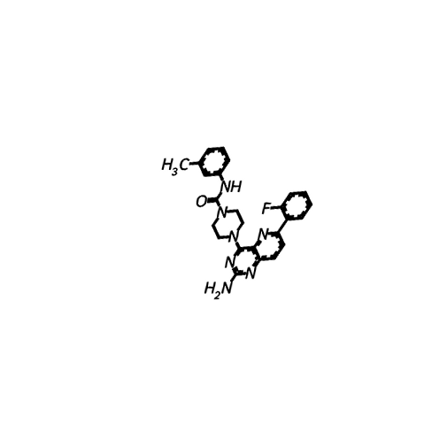 Cc1cccc(NC(=O)N2CCN(c3nc(N)nc4ccc(-c5ccccc5F)nc34)CC2)c1